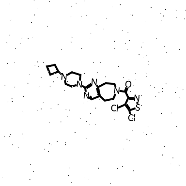 O=C(c1nsc(Cl)c1Cl)N1CCc2cnc(N3CCN(C4CCC4)CC3)nc2CC1